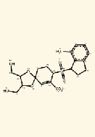 Cc1cccc2c1C(S(=O)(=O)C1CCC3(C=C1C(=O)O)OC(CO)C(CO)O3)CC2